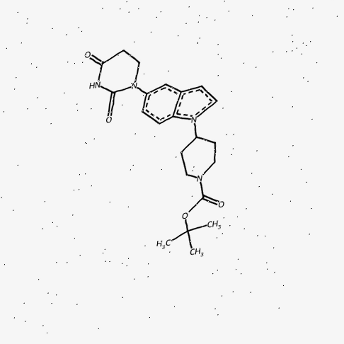 CC(C)(C)OC(=O)N1CCC(n2ccc3cc(N4CCC(=O)NC4=O)ccc32)CC1